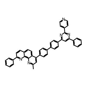 Cc1cc(-c2ccc(-c3ccc(-c4cc(-c5ccccc5)nc(-c5ccncc5)n4)cc3)cc2)c2ccc3ccc(-c4ccccc4)nc3c2n1